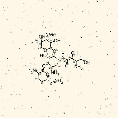 CN[C@@H]1C(O)[C@@H](OC2C(O)C(O[C@H]3O[C@H](CN)CCC3N)[C@@H](N)C[C@H]2NC(=O)[C@@H](O)[C@H](N)CO)OCC1(C)O